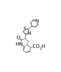 O=C1NC2=CC=CC(C(=O)O)C2CC1c1csc(-c2ccncc2)n1